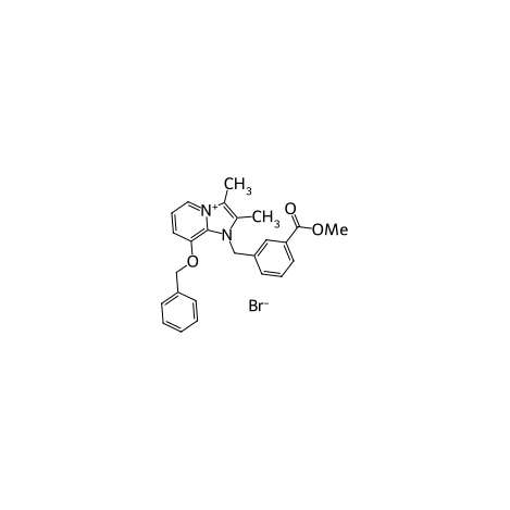 COC(=O)c1cccc(Cn2c(C)c(C)[n+]3cccc(OCc4ccccc4)c23)c1.[Br-]